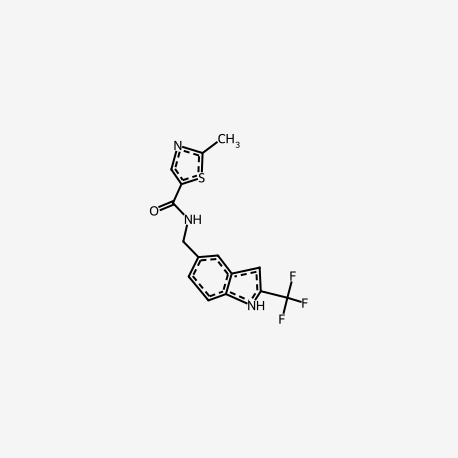 Cc1ncc(C(=O)NCc2ccc3[nH]c(C(F)(F)F)cc3c2)s1